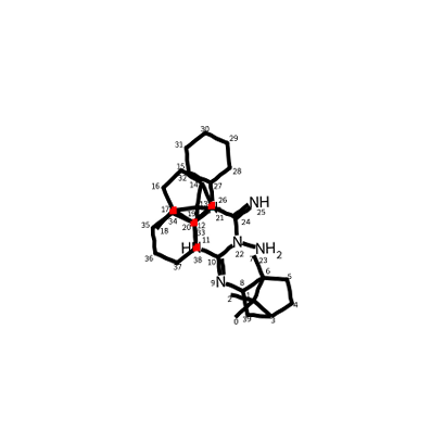 CC1(C)C2CCC1(C)C(N=C(NC1CC3CCC1(C)C3(C)C)N(N)C(=N)N(C1CCCCC1)C1CCCCC1)C2